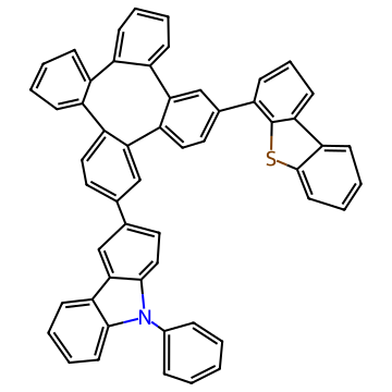 c1ccc(-n2c3ccccc3c3cc(-c4ccc5c(c4)-c4ccc(-c6cccc7c6sc6ccccc67)cc4-c4ccccc4-c4ccccc4-5)ccc32)cc1